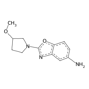 COC1CCN(c2nc3cc(N)ccc3o2)C1